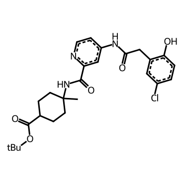 CC1(NC(=O)c2cc(NC(=O)Cc3cc(Cl)ccc3O)ccn2)CCC(C(=O)OC(C)(C)C)CC1